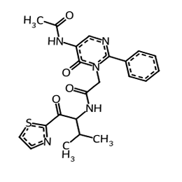 CC(=O)Nc1cnc(-c2ccccc2)n(CC(=O)NC(C(=O)c2nccs2)C(C)C)c1=O